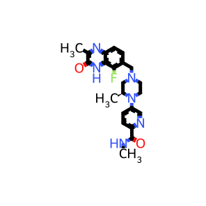 CNC(=O)c1ccc(N2CCN(Cc3ccc4nc(C)c(=O)[nH]c4c3F)C[C@H]2C)cn1